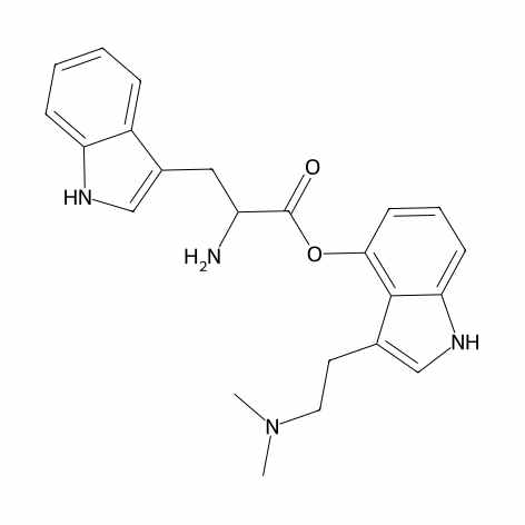 CN(C)CCc1c[nH]c2cccc(OC(=O)C(N)Cc3c[nH]c4ccccc34)c12